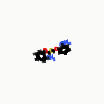 Nc1ccccc1OCSCOc1ccccc1N